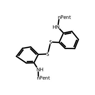 CCCCCNc1ccccc1SSc1ccccc1NCCCCC